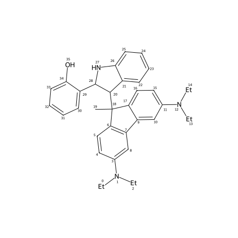 CCN(CC)c1ccc2c(c1)-c1cc(N(CC)CC)ccc1C2(C)C1c2ccccc2NC1c1ccccc1O